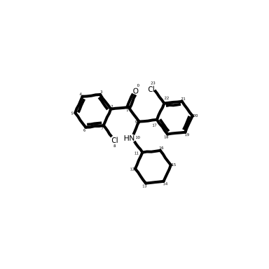 O=C(c1ccccc1Cl)C(NC1CCCCC1)c1ccccc1Cl